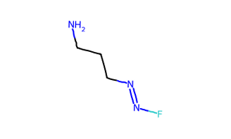 NCCCN=NF